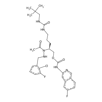 [CH2]C(C)(C)CNC(=O)NCCC[C@@H](COC(=O)Nc1cc2cc(F)ccc2cn1)N(NCc1cccc(F)c1Cl)C(C)=O